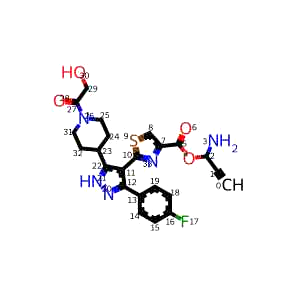 C#CC(N)OC(=O)c1csc(-c2c(-c3ccc(F)cc3)n[nH]c2C2CCN(C(=O)CO)CC2)n1